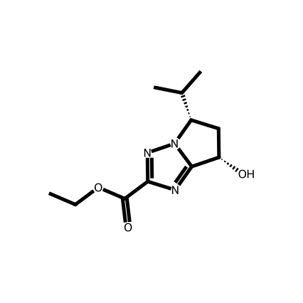 CCOC(=O)c1nc2n(n1)[C@H](C(C)C)C[C@@H]2O